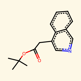 CC(C)(C)OC(=O)Cc1cncc2ccccc12